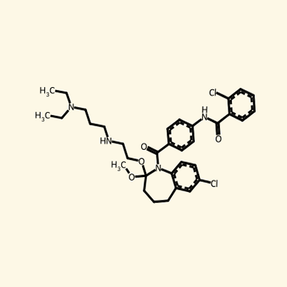 CCN(CC)CCCNCCOC1(OC)CCCc2cc(Cl)ccc2N1C(=O)c1ccc(NC(=O)c2ccccc2Cl)cc1